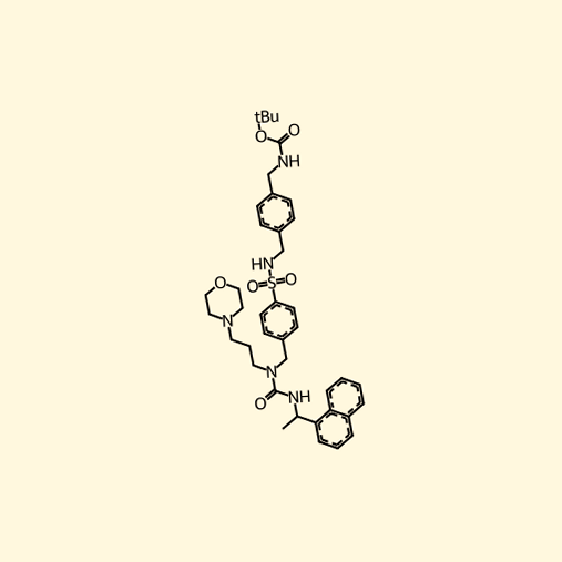 CC(NC(=O)N(CCCN1CCOCC1)Cc1ccc(S(=O)(=O)NCc2ccc(CNC(=O)OC(C)(C)C)cc2)cc1)c1cccc2ccccc12